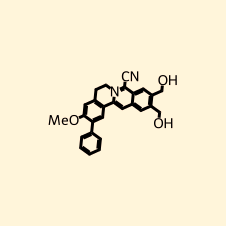 COc1cc2c(cc1-c1ccccc1)-c1cc3cc(CO)c(CO)cc3c(C#N)[n+]1CC2